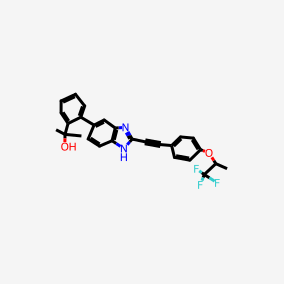 CC(Oc1ccc(C#Cc2nc3cc(-c4ccccc4C(C)(C)O)ccc3[nH]2)cc1)C(F)(F)F